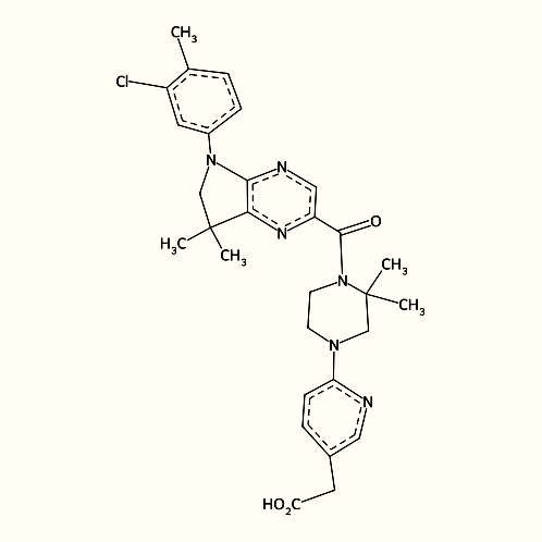 Cc1ccc(N2CC(C)(C)c3nc(C(=O)N4CCN(c5ccc(CC(=O)O)cn5)CC4(C)C)cnc32)cc1Cl